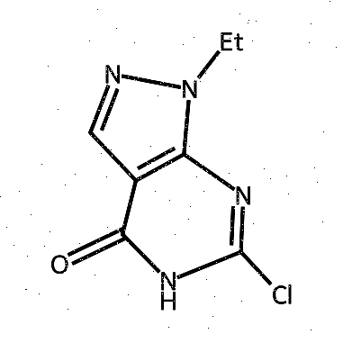 CCn1ncc2c(=O)[nH]c(Cl)nc21